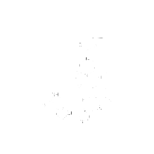 COc1cc(C)c(Sc2cnc([SH]3C=CC(C(N)=O)=C3)s2)c(F)c1C(=O)N1CCN(C(=O)OC(C)(C)C)CC1(C)C